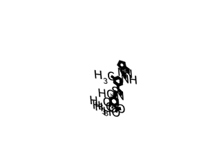 Cc1cc(Nc2ncc3c(n2)CCC3)cc(-c2cnc([C@@]3(O)CC[C@](C)(C(=O)O)C(C)(C)C3)s2)c1